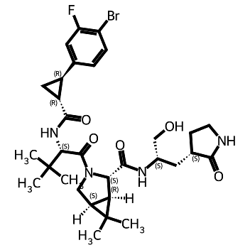 CC(C)(C)[C@H](NC(=O)[C@@H]1C[C@H]1c1ccc(Br)c(F)c1)C(=O)N1C[C@H]2[C@@H]([C@H]1C(=O)N[C@H](CO)C[C@@H]1CCNC1=O)C2(C)C